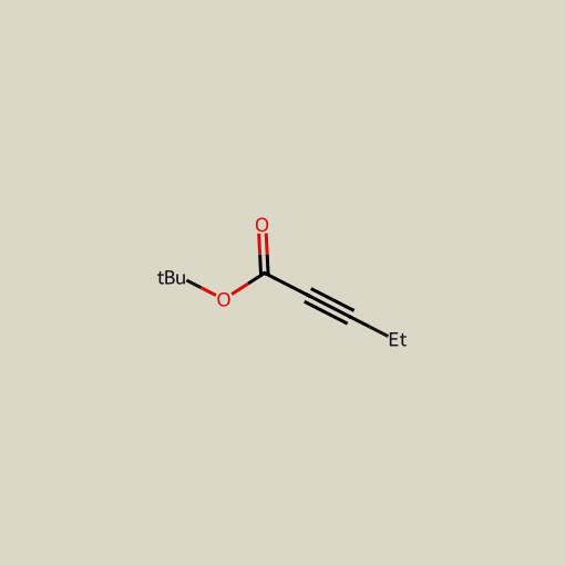 [CH2]CC#CC(=O)OC(C)(C)C